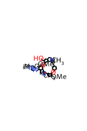 COc1ccc2cc1Oc1ccc(cc1)C[C@H]1c3cc(c(CO)cc3CCN1C)Oc1c(OC)c(OC)c(CN3CCN(C(C)C)CC3)c3c1[C@H](C2)N(C)CC3